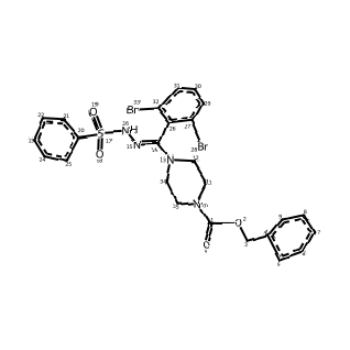 O=C(OCc1ccccc1)N1CCN(/C(=N/NS(=O)(=O)c2ccccc2)c2c(Br)cccc2Br)CC1